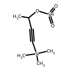 CC(C#C[Si](C)(C)C)O[SH](=O)=O